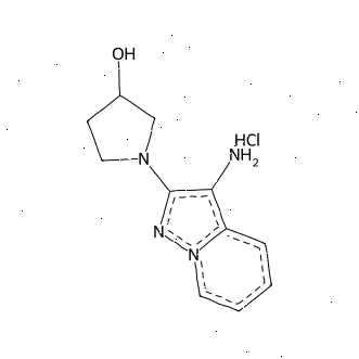 Cl.Nc1c(N2CCC(O)C2)nn2ccccc12